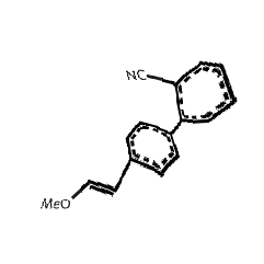 COC=Cc1ccc(-c2ccccc2C#N)cc1